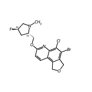 CN1C[C@H](F)C[C@H]1COc1ccc2c3c(c(Br)c(Cl)c2n1)COC3